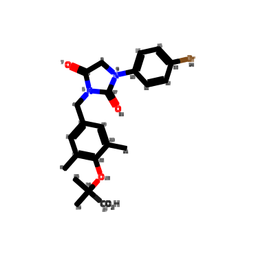 Cc1cc(CN2C(=O)CN(c3ccc(Br)cc3)C2=O)cc(C)c1OC(C)(C)C(=O)O